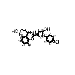 O=C(O)CC(NC(=O)c1cc(O)n(-c2ccc(Cl)cc2)n1)c1cc(F)ccc1F